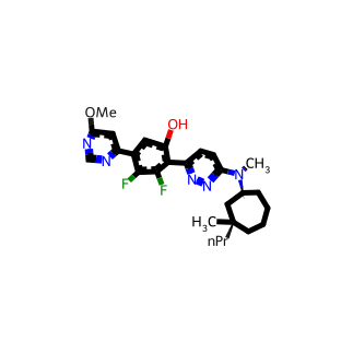 CCC[C@]1(C)CCCC[C@H](N(C)c2ccc(-c3c(O)cc(-c4cc(OC)ncn4)c(F)c3F)nn2)C1